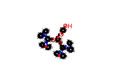 Oc1ccc(OCc2cc(OCc3cc(-n4c5ccccc5c5ccccc54)cc(-n4c5ccccc5c5ccccc54)c3)cc(OCc3cc(-n4c5ccccc5c5ccccc54)cc(-n4c5ccccc5c5ccccc54)c3)c2)cc1